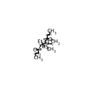 C=CC(=O)[SH](C)CC(CC)(CSC(=O)C=CC)CSC(=O)C=CC